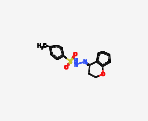 Cc1ccc(S(=O)(=O)NN=C2CCOc3ccccc32)cc1